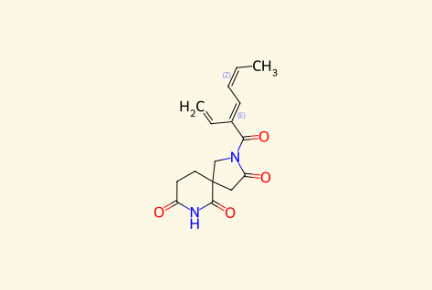 C=C/C(=C\C=C/C)C(=O)N1CC2(CCC(=O)NC2=O)CC1=O